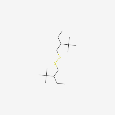 CCC(CSSCC(CC)C(C)(C)C)C(C)(C)C